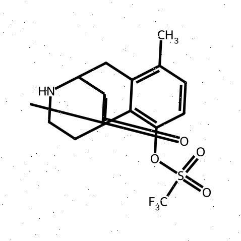 Cc1ccc(OS(=O)(=O)C(F)(F)F)c2c1CC1NCCC23CC(=O)CCC13